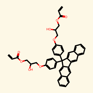 C=CC(=O)OCC(O)COc1ccc(C2(c3ccc(OCC(O)COC(=O)C=C)cc3)c3cc4ccccc4cc3-c3cc4ccccc4cc32)cc1